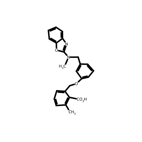 Cc1cccc(COc2cccc(CN(C)c3nc4ccccc4o3)c2)c1C(=O)O